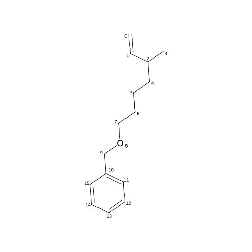 C=CC(C)CCCCOCc1ccccc1